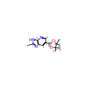 Cc1nc2cc(B3OC(C)(C)C(C)(C)O3)cnc2[nH]1